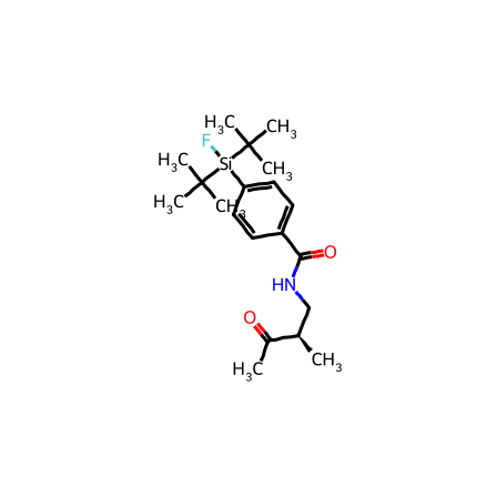 CC(=O)[C@H](C)CNC(=O)c1ccc([Si](F)(C(C)(C)C)C(C)(C)C)cc1